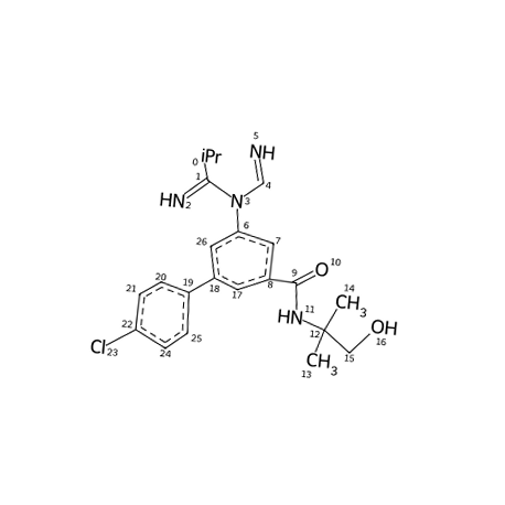 CC(C)C(=N)N(C=N)c1cc(C(=O)NC(C)(C)CO)cc(-c2ccc(Cl)cc2)c1